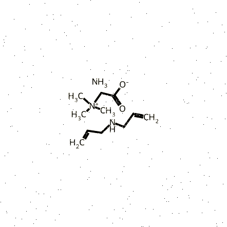 C=CCNCC=C.C[N+](C)(C)CC(=O)[O-].N